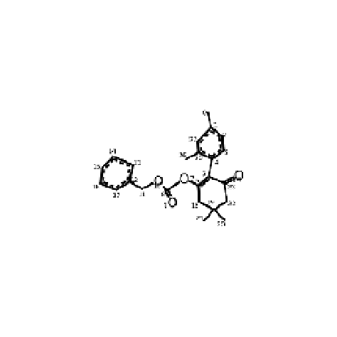 Cc1ccc(C2=C(OC(=O)OCc3ccccc3)CC(C)(C)CC2=O)c(C)c1